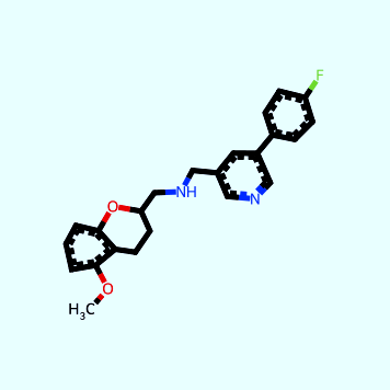 COc1cccc2c1CCC(CNCc1cncc(-c3ccc(F)cc3)c1)O2